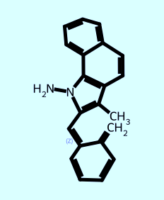 C=c1cccc/c1=C/c1c(C)c2ccc3ccccc3c2n1N